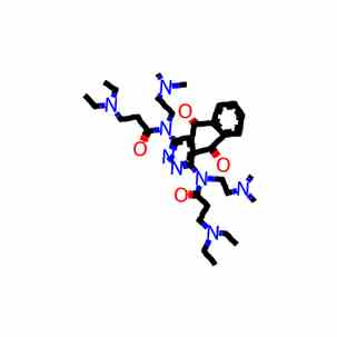 CCN(CC)CCC(=O)N(CCN(C)C)c1nnc(N(CCN(C)C)C(=O)CCN(CC)CC)c2c1C(=O)c1ccccc1C2=O